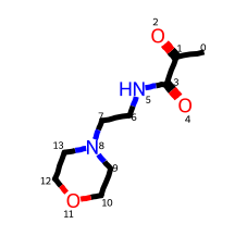 CC(=O)C(=O)NCCN1CCOCC1